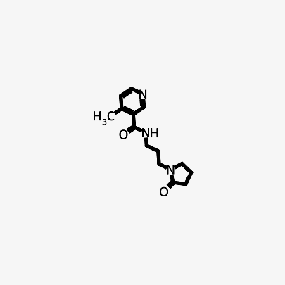 Cc1ccncc1C(=O)NCCCN1CCCC1=O